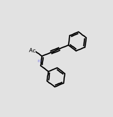 CC(=O)/C(C#Cc1ccccc1)=C/c1ccccc1